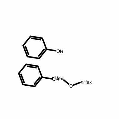 CCCCCCOCCCCCC.Oc1ccccc1.Oc1ccccc1